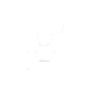 COc1ccc2c(c1C)CCC2CC(=O)O